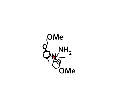 COCCOc1ccc2c(c1)[C@@]1(N=C(N)N(C)C1=O)C1(CCC(OC)CC1)C2